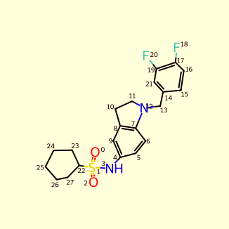 O=S(=O)(Nc1ccc2c(c1)CCN2Cc1ccc(F)c(F)c1)C1CCCCC1